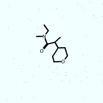 CCN(C)C(=O)C(C)C1CCOCC1